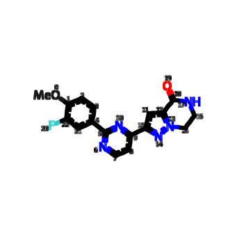 COc1ccc(-c2nccc(-c3cc4n(n3)CCNC4=O)n2)cc1F